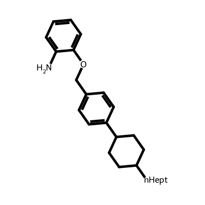 CCCCCCCC1CCC(c2ccc(COc3ccccc3N)cc2)CC1